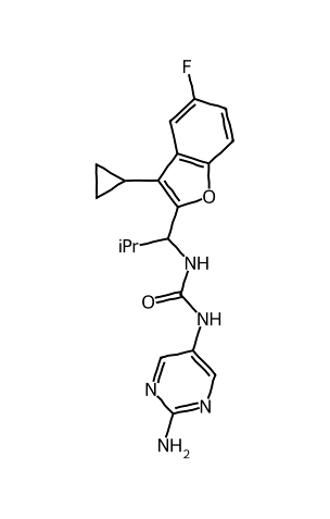 CC(C)C(NC(=O)Nc1cnc(N)nc1)c1oc2ccc(F)cc2c1C1CC1